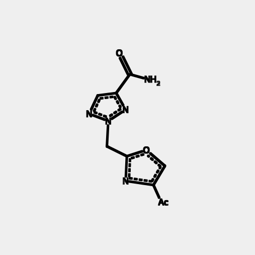 CC(=O)c1coc(Cn2ncc(C(N)=O)n2)n1